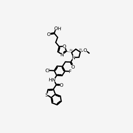 CO[C@H]1C[C@@H](c2ncc(CCC(=O)O)o2)N(C(=O)Cc2cc(Cl)c(NC(=O)c3csc4ccccc34)cc2F)C1